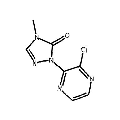 Cn1cnn(-c2nccnc2Cl)c1=O